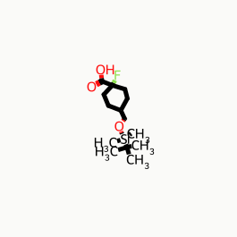 CC(C)(C)[Si](C)(C)OCC1CCC(F)(C(=O)O)CC1